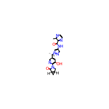 Cc1nccnc1C(=O)Nc1cnn([C@@H](C)c2cnc(N3C[C@H]4C[C@H]4C3=O)c(O)c2)c1